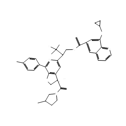 CC1CCN(C(=O)[C@@]2(C)COc3c2cc([C@](O)(CNC(=O)c2cc(OC4CC4)c4ncccc4c2)C(F)(F)F)nc3-c2ccc(F)cc2)C1